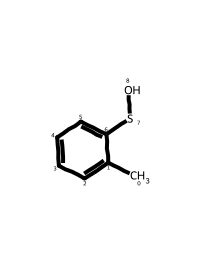 Cc1ccccc1SO